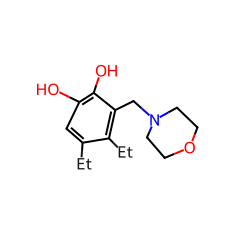 CCc1cc(O)c(O)c(CN2CCOCC2)c1CC